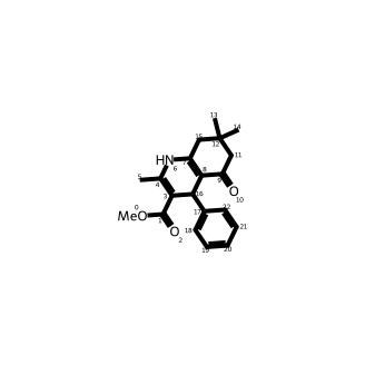 COC(=O)C1=C(C)NC2=C(C(=O)CC(C)(C)C2)C1c1ccccc1